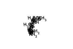 COC(=O)CCCC(NC(=O)c1cc(C)c2c(c1)CCN2Cc1cnc2nc(N)nc(N)c2n1)C(=O)OC